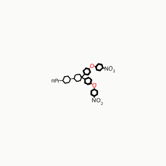 CCC[C@H]1CC[C@@H](C2CCC(c3ccc(Oc4ccc([N+](=O)[O-])cc4)cc3)(c3ccc(Oc4ccc([N+](=O)[O-])cc4)cc3)CC2)CC1